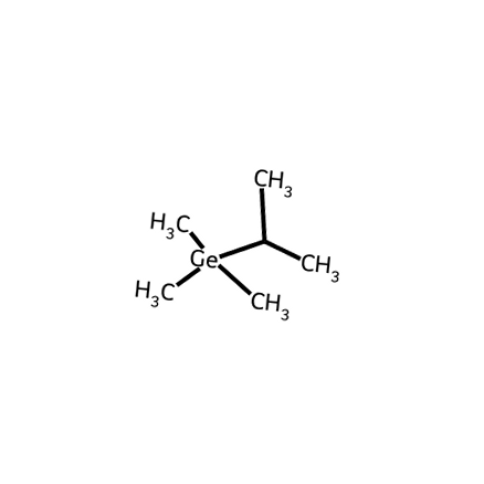 C[CH](C)[Ge]([CH3])([CH3])[CH3]